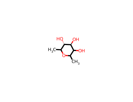 CC1OC(C)[C@H](O)[C@@H](O)C1O